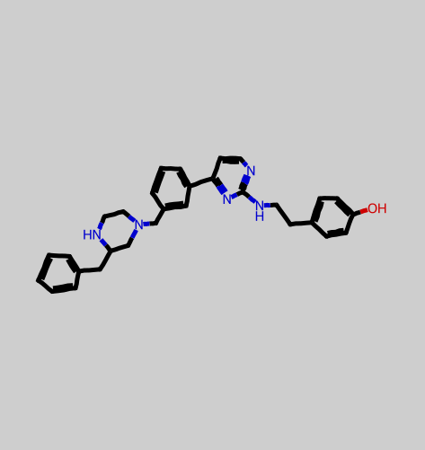 Oc1ccc(CCNc2nccc(-c3cccc(CN4CCNC(Cc5ccccc5)C4)c3)n2)cc1